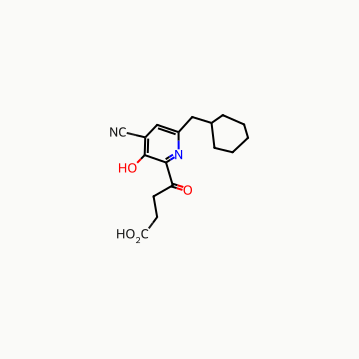 N#Cc1cc(CC2CCCCC2)nc(C(=O)CCC(=O)O)c1O